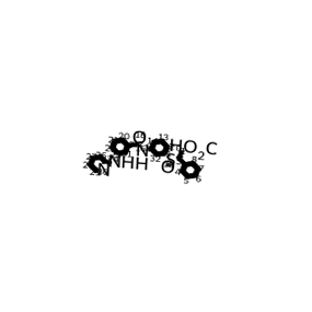 O=C(O)CC(c1ccccc1)[S+]([O-])c1cccc(NC(=O)c2cccc(Nc3ccccn3)c2)c1